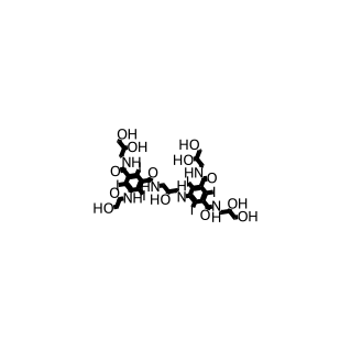 O=C(CO)Nc1c(I)c(C(=O)NCC(O)CO)c(I)c(C(=O)NCC(O)CNc2c(I)c(C(=O)NCC(O)CO)c(I)c(C(=O)NCC(O)CO)c2I)c1I